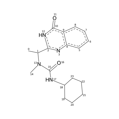 CC(c1nc2ccccc2c(=O)[nH]1)N(C)C(=O)NC1CCCCC1